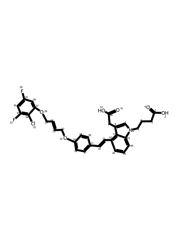 O=C(O)CCCn1cc(CC(=O)O)c2c(C=Cc3ccc(OC/C=C/COc4cc(F)cc(F)c4Cl)cc3)cccc21